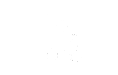 Brc1ccc2c(c1)CCC(Cc1cnnn1Cc1ccccc1)N2